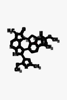 COC(=O)N[C@@H]1CC[C@@H](n2c(=O)n(C)c3cnc4[nH]c(-c5cn(C)nc5OC)c(-c5ccc6c(cnn6C)c5)c4c32)C1